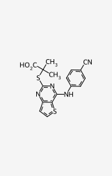 CC(C)(Sc1nc(Nc2ccc(C#N)cc2)c2sccc2n1)C(=O)O